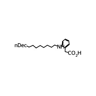 CCCCCCCCCCCCCCCCCCNc1ccccc1CC(=O)O